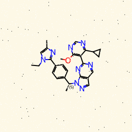 CCn1cc(C)nc1-c1ccc([C@H](C)n2ncc3cnc(-c4c(OC)ncnc4C4CC4)nc32)cc1